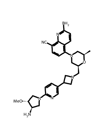 Bc1ccc2c(N3C[C@H](CN4CC(c5ccc(N6C[C@@H](N)[C@H](OC)C6)nc5)C4)O[C@H](C)C3)ccc(C#N)c2n1